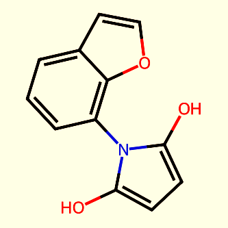 Oc1ccc(O)n1-c1cccc2ccoc12